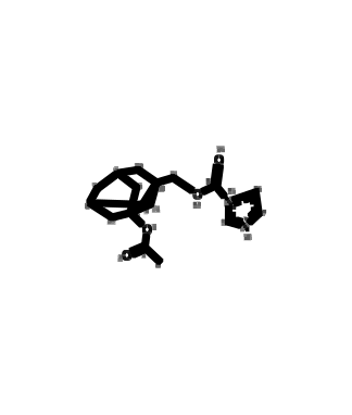 CC(=O)OC12CC3CC(CC(COC(=O)n4ccnc4)(C3)C1)C2